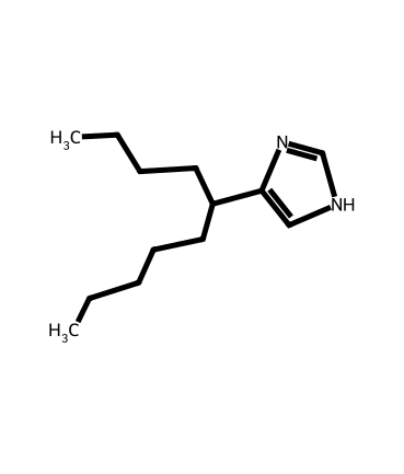 CCCCCC(CCCC)c1c[nH]cn1